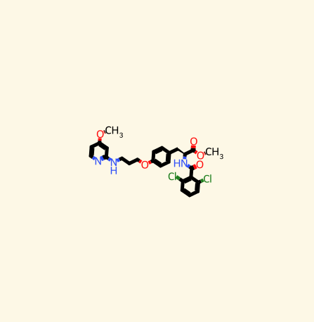 COC(=O)[C@H](Cc1ccc(OCCCNc2cc(OC)ccn2)cc1)NC(=O)c1c(Cl)cccc1Cl